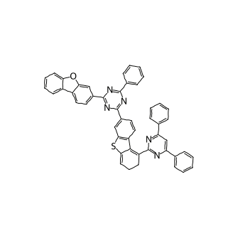 C1=c2sc3cc(-c4nc(-c5ccccc5)nc(-c5ccc6c(c5)oc5ccccc56)n4)ccc3c2=C(c2nc(-c3ccccc3)cc(-c3ccccc3)n2)CC1